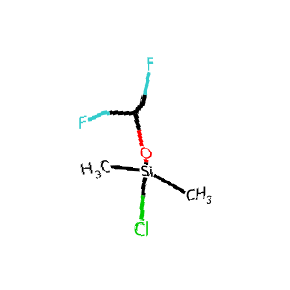 C[Si](C)(Cl)OC(F)F